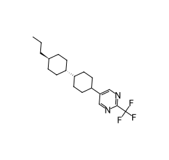 CCC[C@H]1CC[C@H](C2CCC(c3cnc(C(F)(F)F)nc3)CC2)CC1